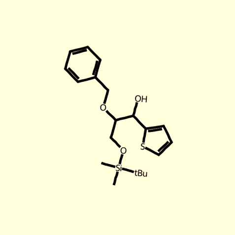 CC(C)(C)[Si](C)(C)OCC(OCc1ccccc1)C(O)c1cccs1